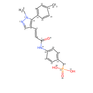 Cn1ncc(C=CC(=O)Nc2ccc(CP(=O)(O)O)cc2)c1-c1ccc(C(F)(F)F)cc1